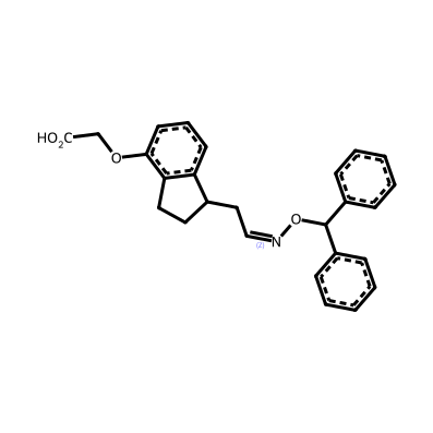 O=C(O)COc1cccc2c1CCC2C/C=N\OC(c1ccccc1)c1ccccc1